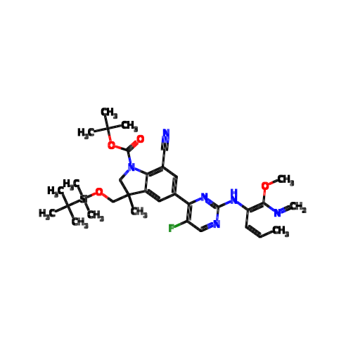 C=N/C(OC)=C(\C=C/C)Nc1ncc(F)c(-c2cc(C#N)c3c(c2)C(C)(CO[Si](C)(C)C(C)(C)C)CN3C(=O)OC(C)(C)C)n1